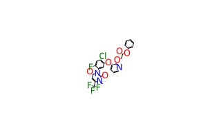 Cn1c(C(F)(F)F)cc(=O)n(-c2cc(Oc3cccnc3OCC(=O)Oc3ccccc3)c(Cl)cc2F)c1=O